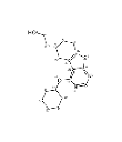 OCC[C@@H]1CCc2sc3ncnc(OC4CCCCC4)c3c2C1